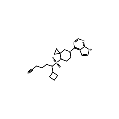 N#CCCCN(C1CCC1)S(=O)(=O)N1CCN(c2ncnc3[nH]ccc23)CC12CC2